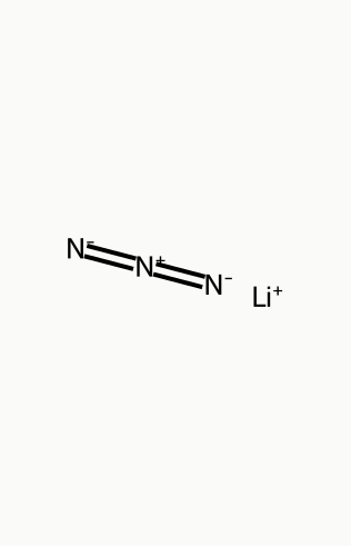 [Li+].[N-]=[N+]=[N-]